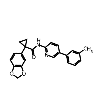 Cc1cccc(-c2ccc(NC(=O)C3(c4ccc5c(c4)OCO5)CC3)nc2)c1